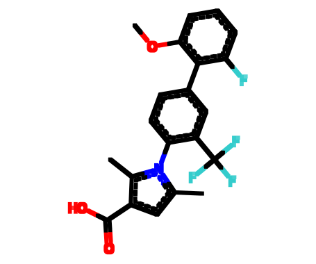 COc1cccc(F)c1-c1ccc(-n2c(C)cc(C(=O)O)c2C)c(C(F)(F)F)c1